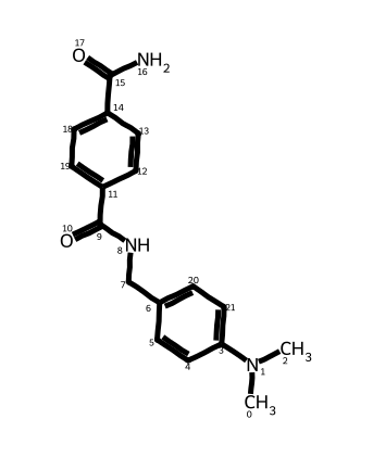 CN(C)c1ccc(CNC(=O)c2ccc(C(N)=O)cc2)cc1